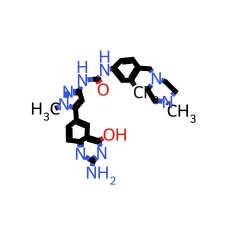 CN1CCN(Cc2ccc(NC(=O)Nc3cc(-c4ccc5nc(N)nc(O)c5c4)n(C)n3)cc2C(F)(F)F)CC1